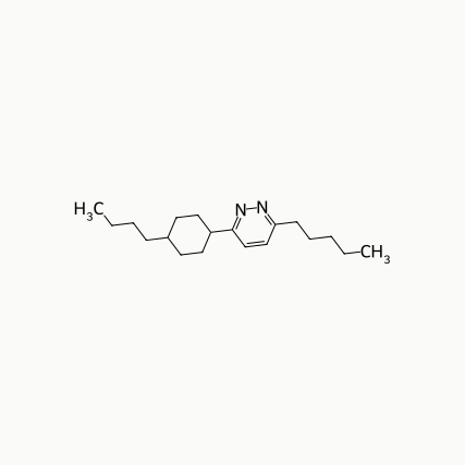 CCCCCc1ccc(C2CCC(CCCC)CC2)nn1